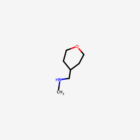 CNCC1CCOCC1